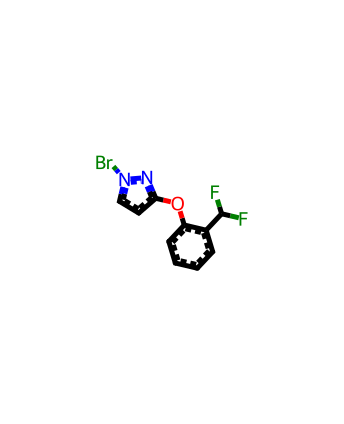 FC(F)c1ccccc1Oc1ccn(Br)n1